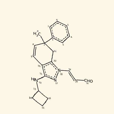 CC1(c2ccccc2)C=Cc2c(NC3CCC3)nn(C=CC=O)c2C1